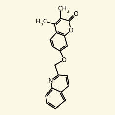 Cc1c(C)c2ccc(OCc3ccc4ccccc4n3)cc2oc1=O